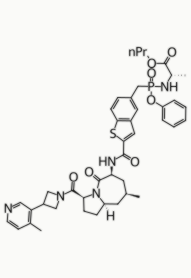 CCCOC(=O)[C@H](C)NP(=O)(Cc1ccc2sc(C(=O)N[C@H]3C[C@@H](C)C[C@H]4CC[C@@H](C(=O)N5CC(c6cnccc6C)C5)N4C3=O)cc2c1)Oc1ccccc1